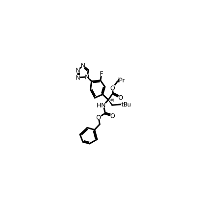 CC(C)OC(=O)[C@](CC(C)(C)C)(NC(=O)OCc1ccccc1)c1ccc(-n2cnnn2)c(F)c1